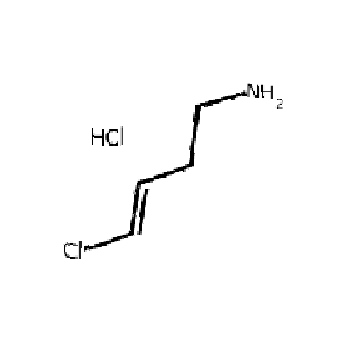 Cl.NCCC=CCl